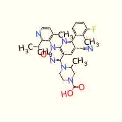 Cc1ccnc(C(C)C)c1-n1c(=O)nc(N2CCN(C(=O)O)C[C@@H]2C)c2cc(C#N)c(-c3cccc(F)c3C)nc21